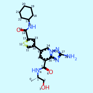 C[C@@H](CO)NC(=O)c1cc(-c2csc(C(=O)NC3CCCCC3)c2)cn2nc(N)nc12